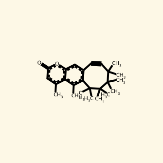 Cc1cc(=O)oc2cc3c(c(C)c12)C(C)(C)C(C)(C)C(C)(C)C(C)(C)C#C3